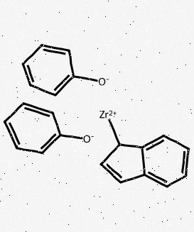 [O-]c1ccccc1.[O-]c1ccccc1.[Zr+2][CH]1C=Cc2ccccc21